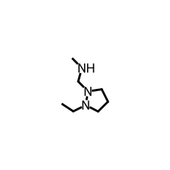 CCN1CCCN1CNC